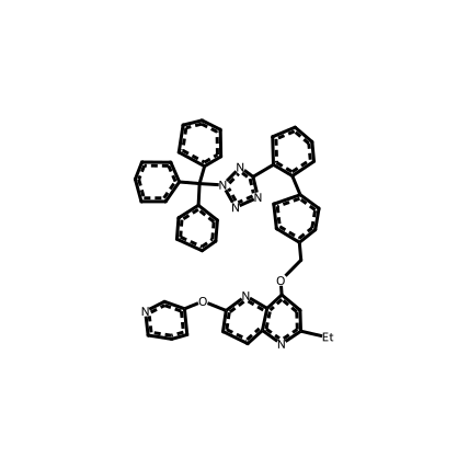 CCc1cc(OCc2ccc(-c3ccccc3-c3nnn(C(c4ccccc4)(c4ccccc4)c4ccccc4)n3)cc2)c2nc(Oc3cccnc3)ccc2n1